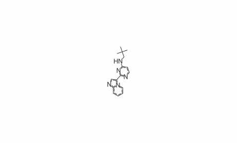 CC(C)(C)CNc1ccnc(-c2cnc3ccccn23)n1